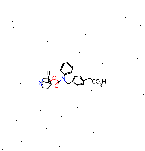 O=C(O)Cc1ccc(CN(C(=O)O[C@H]2CN3CCC2CC3)c2ccccc2)cc1